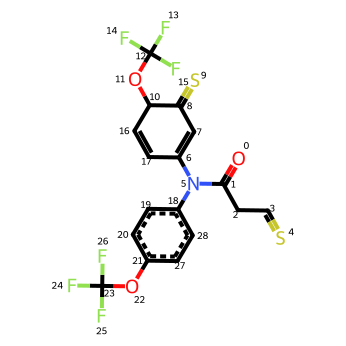 O=C(CC=S)N(C1=CC(=S)C(OC(F)(F)F)C=C1)c1ccc(OC(F)(F)F)cc1